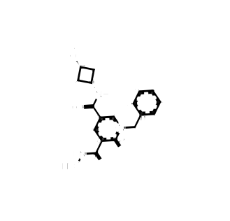 CNC(=O)c1cc(C(=O)N[C@H]2C[C@H](O)C2)cn(Cc2ccccc2)c1=O